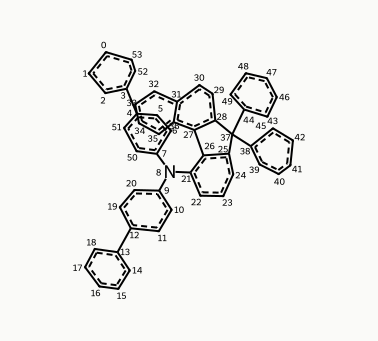 c1ccc(-c2ccc(N(c3ccc(-c4ccccc4)cc3)c3cccc4c3-c3c(ccc5ccccc35)C4(c3ccccc3)c3ccccc3)cc2)cc1